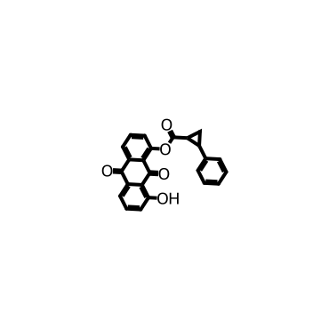 O=C1c2cccc(O)c2C(=O)c2c(OC(=O)C3CC3c3ccccc3)cccc21